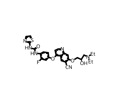 CCN(CC)C[C@@H](O)COc1cc2nccc(Oc3ccc(NC(=O)Nc4nccs4)c(F)c3)c2cc1C#N